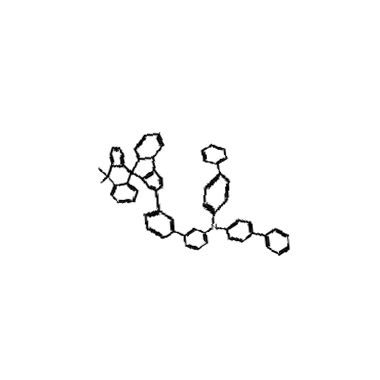 CC1(C)c2ccccc2C2(c3cc(-c4cccc(-c5cccc(N(c6ccc(-c7ccccc7)cc6)c6ccc(-c7ccccc7)cc6)c5)c4)ccc3C3C=CC=CC32)c2ccccc21